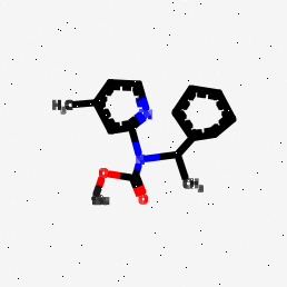 Cc1ccnc(N(C(=O)OC(C)(C)C)C(C)c2ccccc2)c1